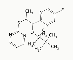 CC(Sc1ncccn1)C(O[Si](C)(C)C(C)(C)C)c1ncc(F)cn1